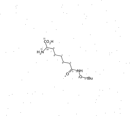 CC(C)(C)ONC(=O)CCCCCC(N)C(=O)O